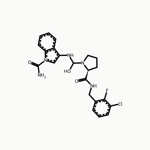 NC(=O)n1cc(NC(O)N2CCC[C@H]2C(=O)NCc2cccc(Cl)c2F)c2ccccc21